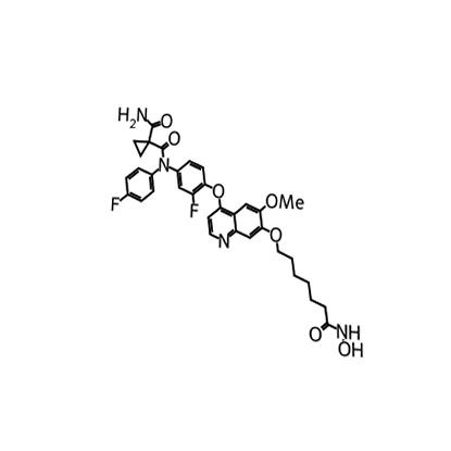 COc1cc2c(Oc3ccc(N(C(=O)C4(C(N)=O)CC4)c4ccc(F)cc4)cc3F)ccnc2cc1OCCCCCCC(=O)NO